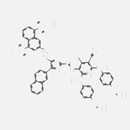 Cc1c(C#N)c(Nc2ccc(S(=O)(=O)O)cc2)nc(Nc2ccc(S(=O)(=O)O)cc2)c1N=Nc1nc(-c2ccc3ccccc3c2)c(N=Nc2cc(S(=O)(=O)O)c3cccc(S(=O)(=O)O)c3c2)s1